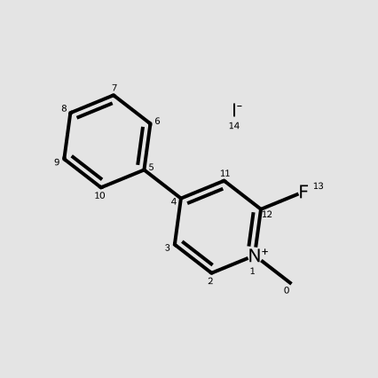 C[n+]1ccc(-c2ccccc2)cc1F.[I-]